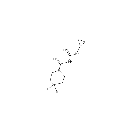 N=C(NC(=N)N1CCC(F)(F)CC1)NC1CC1